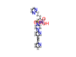 O=C(NO)C(CCCc1ncccn1)CS(=O)(=O)N1CCN(c2ccc(C#Cc3ccccn3)cn2)CC1